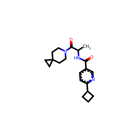 CC(NC(=O)c1ccc(C2CCC2)nc1)C(=O)N1CCC2(CC1)CC2